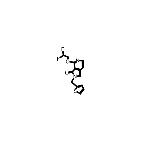 O=C1c2c(ccnc2OCC(F)F)CN1Cc1cccs1